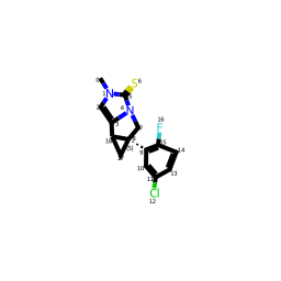 Cn1cc2n(c1=S)C[C@@]1(c3cc(Cl)ccc3F)CC21